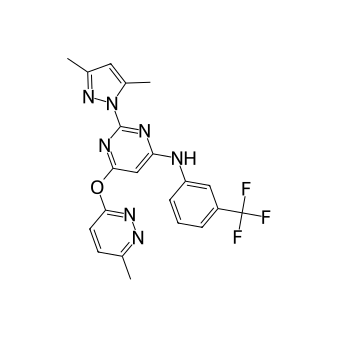 Cc1ccc(Oc2cc(Nc3cccc(C(F)(F)F)c3)nc(-n3nc(C)cc3C)n2)nn1